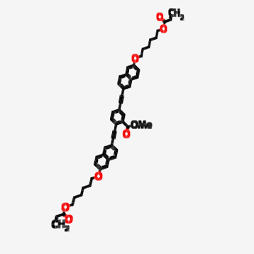 C=CC(=O)OCCCCCCOc1ccc2cc(C#Cc3ccc(C#Cc4ccc5cc(OCCCCCCOC(=O)C=C)ccc5c4)c(C(=O)OC)c3)ccc2c1